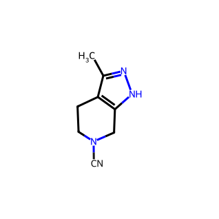 Cc1n[nH]c2c1CCN(C#N)C2